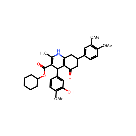 COc1ccc(C2C(C(=O)OC3CCCCC3)=C(C)NC3=C2C(=O)CC(c2ccc(OC)c(OC)c2)C3)cc1O